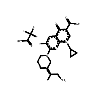 CC(CN)=C1CCCN(c2nc3c(cc2F)c(=O)c(C(=O)O)cn3C2CC2)C1.O=C(O)C(F)(F)F